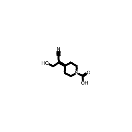 N#CC(CO)=C1CCN(C(=O)O)CC1